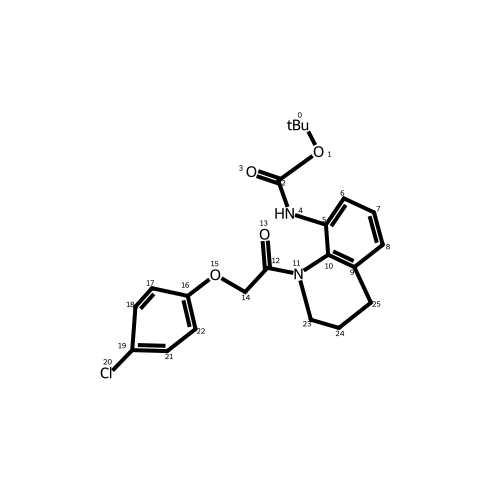 CC(C)(C)OC(=O)Nc1cccc2c1N(C(=O)COc1ccc(Cl)cc1)CCC2